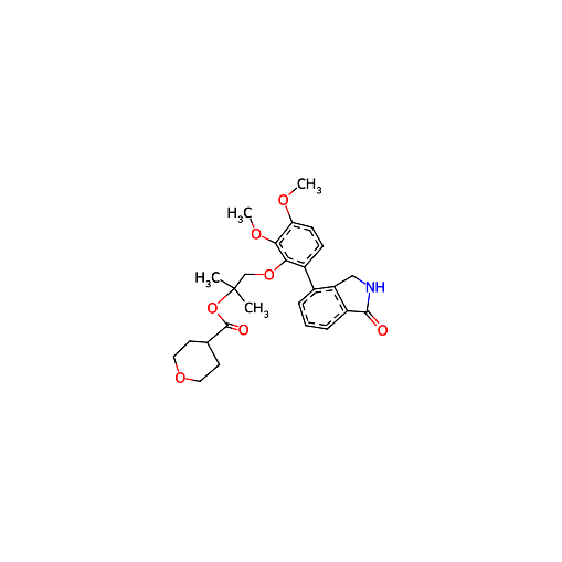 COc1ccc(-c2cccc3c2CNC3=O)c(OCC(C)(C)OC(=O)C2CCOCC2)c1OC